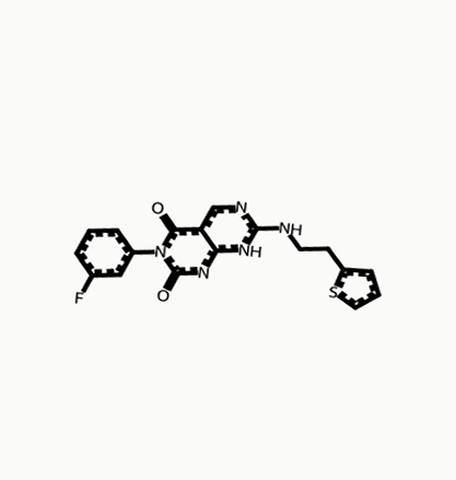 O=c1nc2[nH]c(NCCc3cccs3)ncc-2c(=O)n1-c1cccc(F)c1